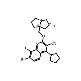 N#Cc1c(OC[C@@]23CCCN2C[C@H](F)C3)nc2c(F)c(Br)ccc2c1N1CCCC1